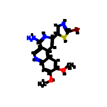 COc1cc2ncc3c(N)nc(-c4cnc(Br)s4)cc3c2cc1OC